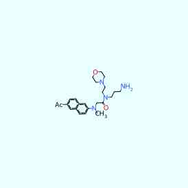 CC(=O)c1ccc2cc(N(C)CC(=O)N(CCCN)CCN3CCOCC3)ccc2c1